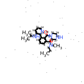 CCCN(C)C(=O)c1cccc(-c2ncccc2NC(C)C)c1C(=O)N1CCNCC1